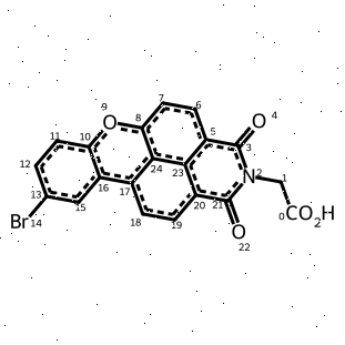 O=C(O)Cn1c(=O)c2ccc3oc4ccc(Br)cc4c4ccc(c1=O)c2c34